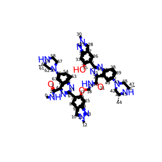 CNC(=O)c1nc(-c2cc3cn(C)nc3cc2OCNC(=O)c2nc(-c3cc4cn(C)nc4cc3O)nc3ccc(N4C[C@@H](C)N[C@@H](C)C4)cc23)nc2ccc(N3CCN[C@@H](C)C3)cc12